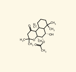 CC(=O)O[C@H]1[C@@H](O)C2C(C)(C)CCC[C@]2(C)C2C(=O)CC(C)(C)O[C@@]21C